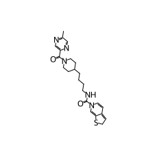 Cc1cnc(C(=O)N2CCC(CCCCNC(=O)N3C=CC4=CCSC4=C3)CC2)cn1